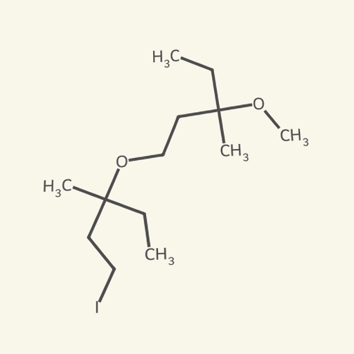 CCC(C)(CCOC(C)(CC)CCI)OC